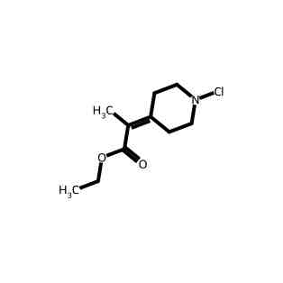 CCOC(=O)C(C)=C1CCN(Cl)CC1